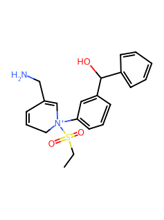 CCS(=O)(=O)[N+]1(c2cccc(C(O)c3ccccc3)c2)C=C(CN)C=CC1